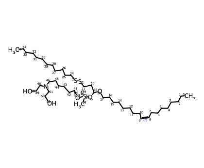 CCCCCCCC/C=C\CCCCCCCCOC(CCSSCCCCCCCCCCCC)O[Si](C)(C)OCCCCCCN(CCO)CCO